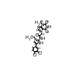 CCN1C=C(c2ccc(Cl)c(Cl)c2)NC1NC(=O)Cn1cnc2c1c(=O)[nH]c(=O)n2C